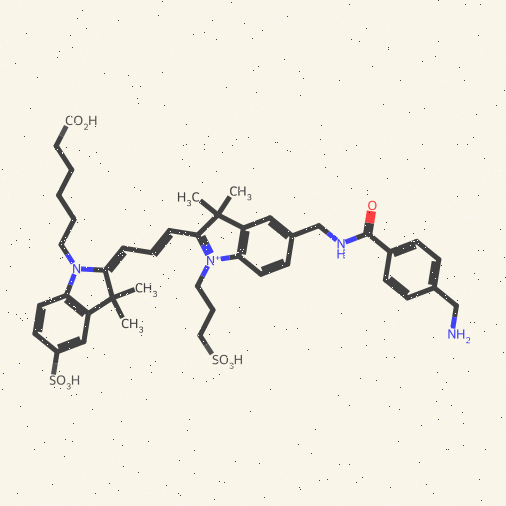 CC1(C)C(/C=C/C=C2/N(CCCCCC(=O)O)c3ccc(S(=O)(=O)O)cc3C2(C)C)=[N+](CCCS(=O)(=O)O)c2ccc(CNC(=O)c3ccc(CN)cc3)cc21